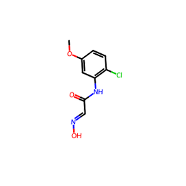 COc1ccc(Cl)c(NC(=O)C=NO)c1